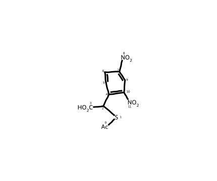 CC(=O)SC(C(=O)O)c1ccc([N+](=O)[O-])cc1[N+](=O)[O-]